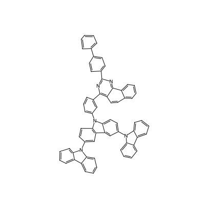 c1ccc(-c2ccc(-c3nc(-c4cccc(-n5c6ccc(-n7c8ccccc8c8ccccc87)cc6c6cc(-n7c8ccccc8c8ccccc87)ccc65)c4)c4ccc5ccccc5c4n3)cc2)cc1